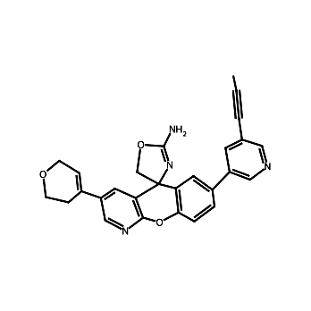 CC#Cc1cncc(-c2ccc3c(c2)C2(COC(N)=N2)c2cc(C4=CCOCC4)cnc2O3)c1